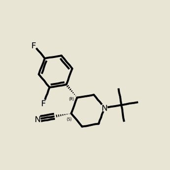 CC(C)(C)N1CC[C@H](C#N)[C@H](c2ccc(F)cc2F)C1